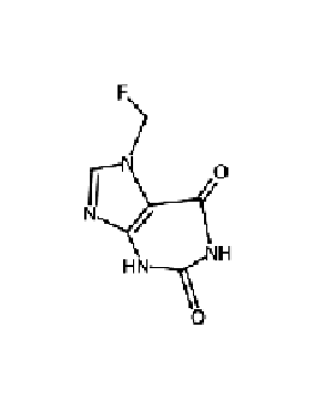 O=c1[nH]c(=O)c2c(ncn2CF)[nH]1